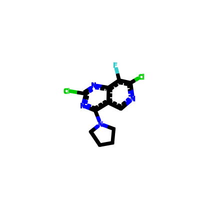 Fc1c(Cl)ncc2c(N3CCCC3)nc(Cl)nc12